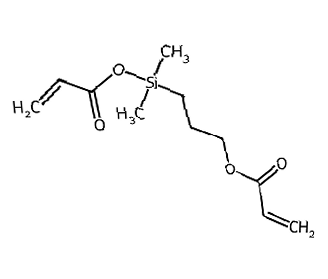 C=CC(=O)OCCC[Si](C)(C)OC(=O)C=C